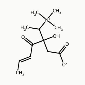 C/C=C/C(=O)C(O)(CC(=O)[O-])C(C)[N+](C)(C)C